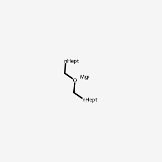 CCCCCCCCOCCCCCCCC.[Mg]